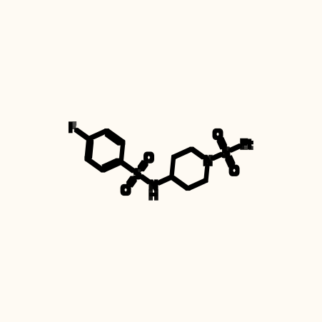 CCS(=O)(=O)N1CCC(NS(=O)(=O)c2ccc(F)cc2)CC1